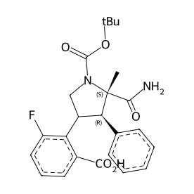 CC(C)(C)OC(=O)N1CC(c2c(F)cccc2C(=O)O)[C@H](c2ccccc2)[C@@]1(C)C(N)=O